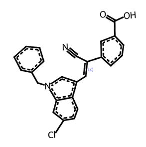 N#C/C(=C\c1cn(Cc2ccccc2)c2cc(Cl)ccc12)c1cccc(C(=O)O)c1